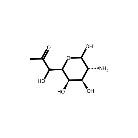 CC(=O)C(O)[C@H]1OC(O)[C@H](N)[C@@H](O)[C@H]1O